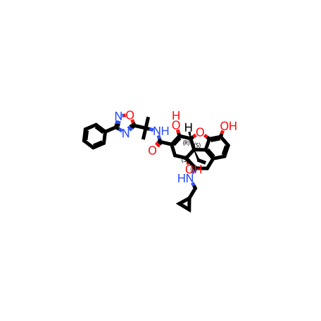 CC[C@]12c3c4ccc(O)c3O[C@H]1C(O)=C(C(=O)NC(C)(C)c1nc(-c3ccccc3)no1)C[C@@]2(O)[C@H](NCC1CC1)C4